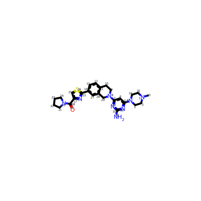 CN1CCN(c2cc(N3CCc4ccc(-c5nc(C(=O)N6CCCC6)cs5)cc4C3)nc(N)n2)CC1